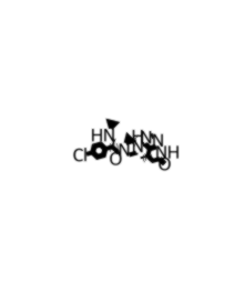 C[C@@H]1CC(=O)Nc2ncnc(N3CCN(C(=O)[C@H](CNC4CC4)c4ccc(Cl)cc4)C4C[C@H]43)c21